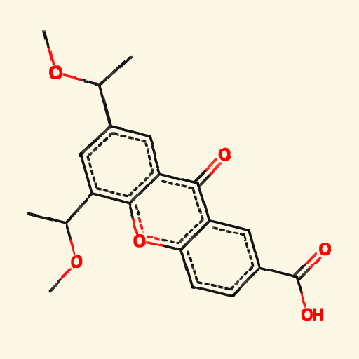 COC(C)c1cc(C(C)OC)c2oc3ccc(C(=O)O)cc3c(=O)c2c1